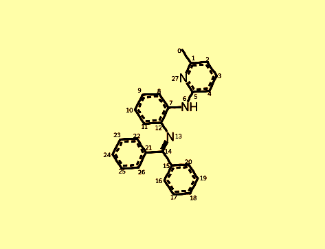 Cc1cccc(Nc2ccccc2N=C(c2ccccc2)c2ccccc2)n1